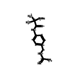 CC(=O)NC(C)(C)C(=O)Nc1ccc(CNC(=N)N)cc1